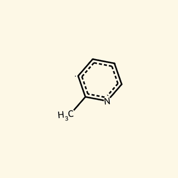 Cc1[c]cccn1